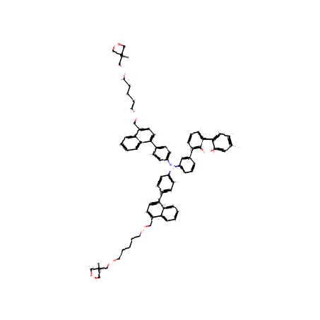 CCC1(COCCCCCOCc2ccc(-c3ccc(N(c4ccc(-c5ccc(COCCCCCOCC6(CC)COC6)c6ccccc56)cc4)c4cccc(-c5cccc6c5oc5ccccc56)c4)cc3)c3ccccc23)COC1